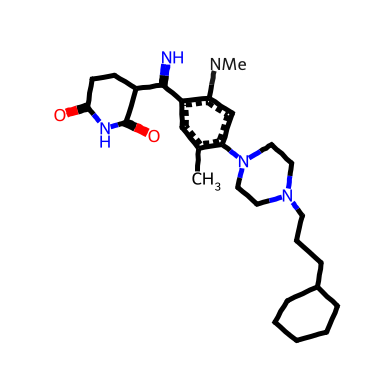 CNc1cc(N2CCN(CCCC3CCCCC3)CC2)c(C)cc1C(=N)C1CCC(=O)NC1=O